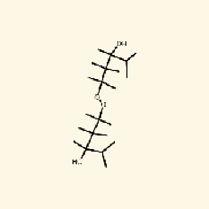 CC(C)C(C)(O)C(C)(C)C(C)(C)OOC(C)(C)C(C)(C)C(C)(O)C(C)C